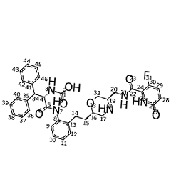 O=C(O)N[C@H](C(=O)Nc1ccccc1CC[C@@H]1CN[C@H](CNC(=O)c2[nH]c(=O)ccc2F)CO1)C(c1ccccc1)c1ccccc1